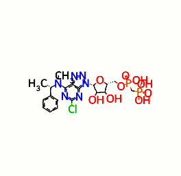 C[C@@H](c1ccccc1)N(C)c1nc(Cl)nc2c1nnn2[C@@H]1O[C@H](COP(=O)(O)CP(=O)(O)O)[C@@H](O)[C@H]1O